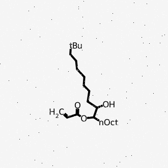 C=CC(=O)OC(CCCCCCCC)C(O)CCCCCCCC(C)(C)C